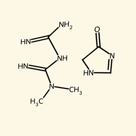 CN(C)C(=N)NC(=N)N.O=C1CNC=N1